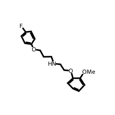 COc1ccccc1OCCNCCCOc1ccc(F)cc1